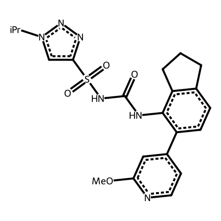 COc1cc(-c2ccc3c(c2NC(=O)NS(=O)(=O)c2cn(C(C)C)nn2)CCC3)ccn1